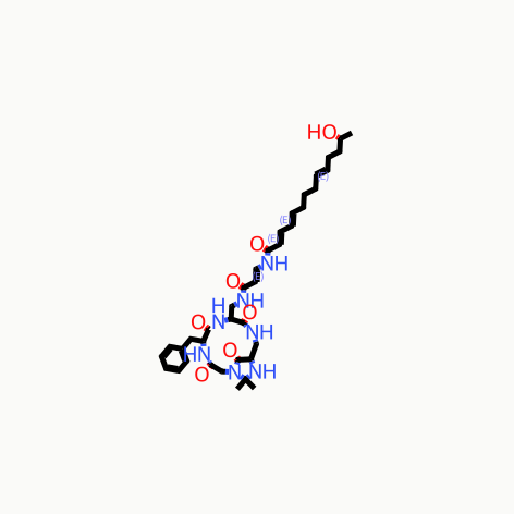 CC(O)CC/C=C/CCC/C=C/C=C/C(=O)N/C=C/C(=O)NCC1NC(=O)C(Cc2ccccc2)NC(=O)CN2C(=O)C(CNC1=O)NC2(C)C